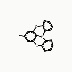 Cc1cc2c3c(c1)Oc1ccccc1B3c1ccccc1O2